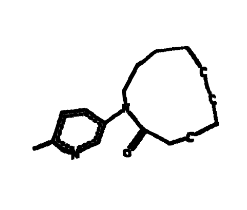 Cc1ccc(N2CCCCCCCCCC2=O)cn1